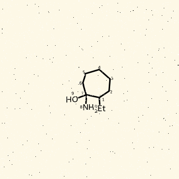 CCC1CCCCCC1(N)O